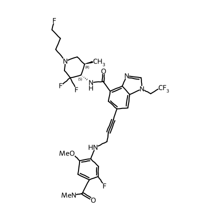 CNC(=O)c1cc(OC)c(NCC#Cc2cc(C(=O)N[C@H]3[C@H](C)CN(CCCF)CC3(F)F)c3ncn(CC(F)(F)F)c3c2)cc1F